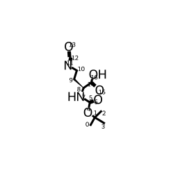 CC(C)(C)OC(=O)N[C@@H](CCN=C=O)C(=O)O